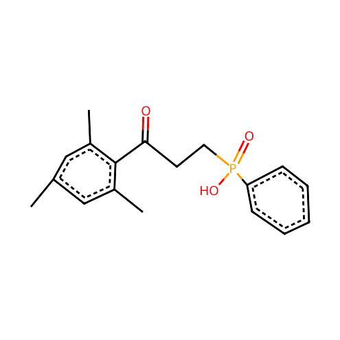 Cc1cc(C)c(C(=O)CCP(=O)(O)c2ccccc2)c(C)c1